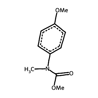 COC(=O)N(C)c1ccc(OC)cc1